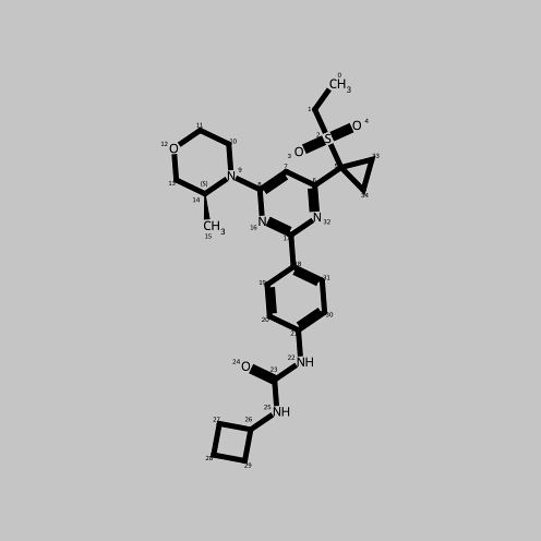 CCS(=O)(=O)C1(c2cc(N3CCOC[C@@H]3C)nc(-c3ccc(NC(=O)NC4CCC4)cc3)n2)CC1